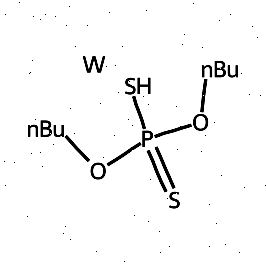 CCCCOP(=S)(S)OCCCC.[W]